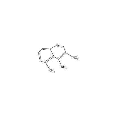 Cc1cccc2ncc([N+](=O)[O-])c(N)c12